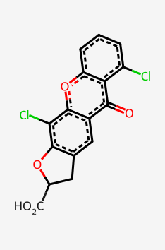 O=C(O)C1Cc2cc3c(=O)c4c(Cl)cccc4oc3c(Cl)c2O1